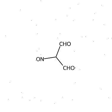 O=[C]C(C=O)N=O